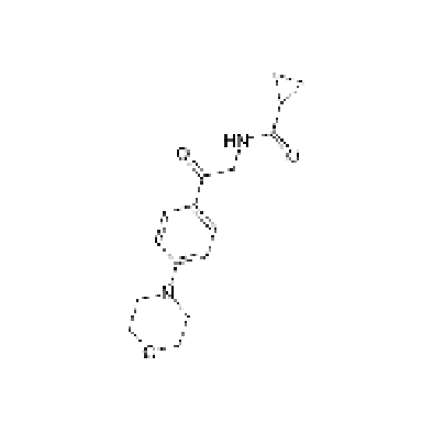 O=C(CNC(=O)C1CC1)c1ccc(N2CCOCC2)cc1